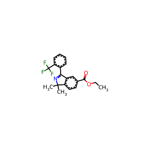 CCOC(=O)c1ccc2c(c1)C(c1ccccc1C(F)(F)F)=NC2(C)C